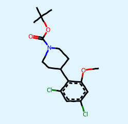 COc1cc(Cl)cc(Cl)c1C1CCN(C(=O)OC(C)(C)C)CC1